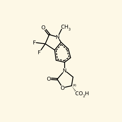 CN1C(=O)C(F)(F)c2cc(N3C[C@H](C(=O)O)OC3=O)ccc21